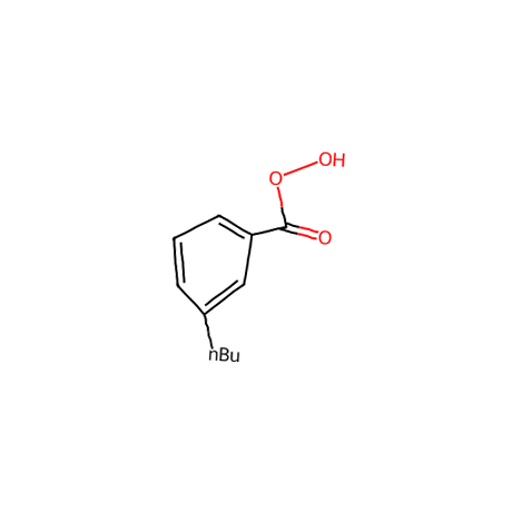 CCCCc1cccc(C(=O)OO)c1